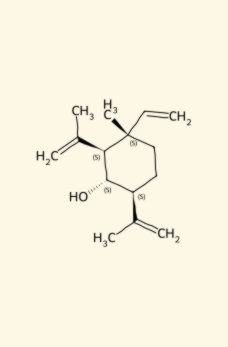 C=C[C@]1(C)CC[C@@H](C(=C)C)[C@H](O)[C@H]1C(=C)C